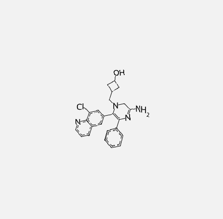 NC1=NC(c2ccccc2)=C(c2cc(Cl)c3ncccc3c2)N(CC2CC(O)C2)C1